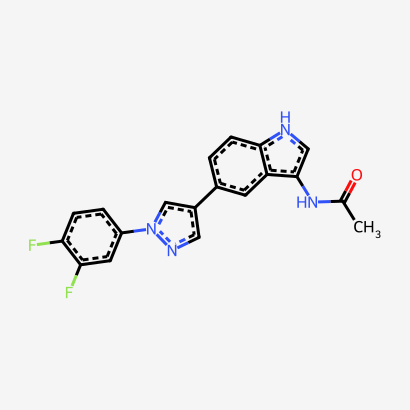 CC(=O)Nc1c[nH]c2ccc(-c3cnn(-c4ccc(F)c(F)c4)c3)cc12